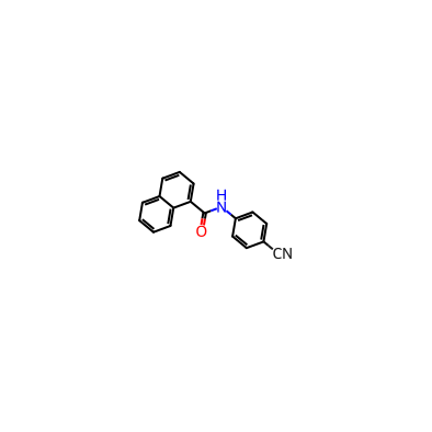 N#Cc1ccc(NC(=O)c2cccc3ccccc23)cc1